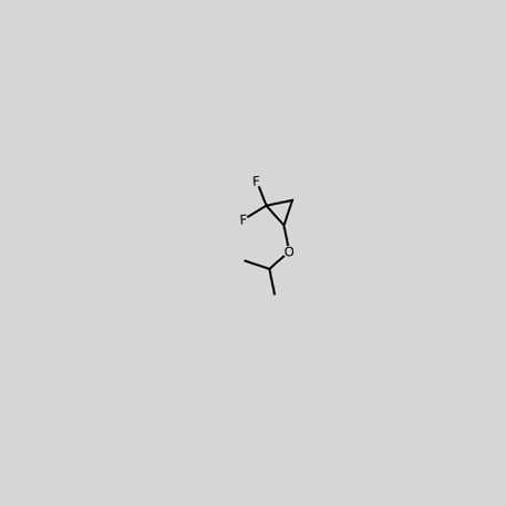 CC(C)OC1CC1(F)F